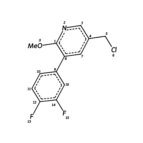 COc1ncc(CCl)cc1-c1ccc(F)c(F)c1